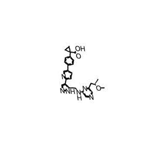 CO[C@H](C)Cc1cncc(NCc2[nH]ncc2-c2ccc(-c3ccc(C4(C(=O)O)CC4)cc3)cn2)n1